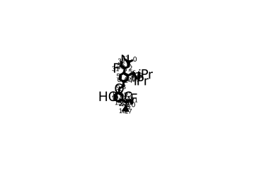 Cc1cc(-c2ccc(COc3cccc([C@H](C4CC4)[C@@](C)(F)C(=O)O)c3)cc2CN(C(C)C)C(C)C)c(F)cn1